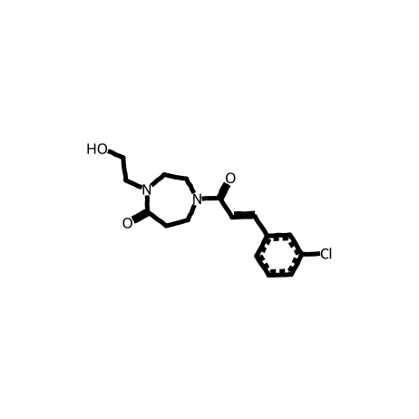 O=C(C=Cc1cccc(Cl)c1)N1CCC(=O)N(CCO)CC1